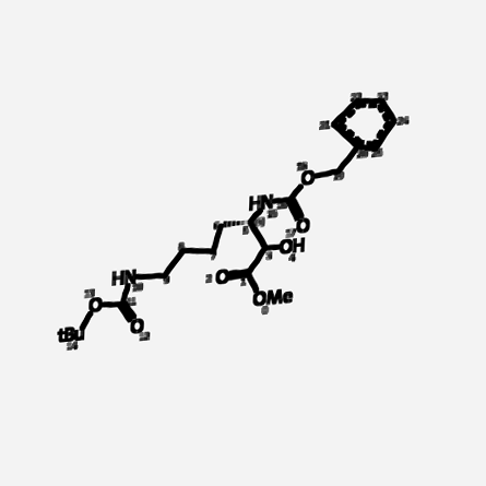 COC(=O)C(O)[C@H](CCCCNC(=O)OC(C)(C)C)NC(=O)OCc1ccccc1